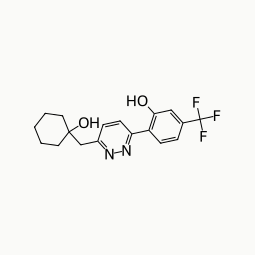 Oc1cc(C(F)(F)F)ccc1-c1ccc(CC2(O)CCCCC2)nn1